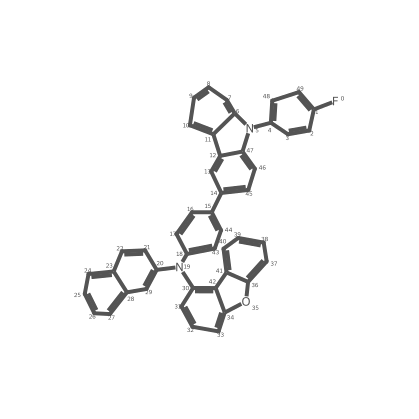 Fc1ccc(-n2c3ccccc3c3cc(-c4ccc(N(c5ccc6ccccc6c5)c5cccc6oc7ccccc7c56)cc4)ccc32)cc1